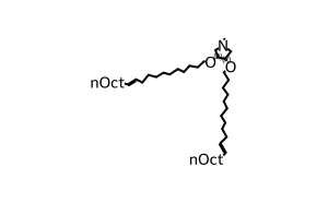 CCCCCCCCC=CCCCCCCCCCCO[C@@H]1CN(C)C[C@H]1OCCCCCCCCCCC=CCCCCCCCC